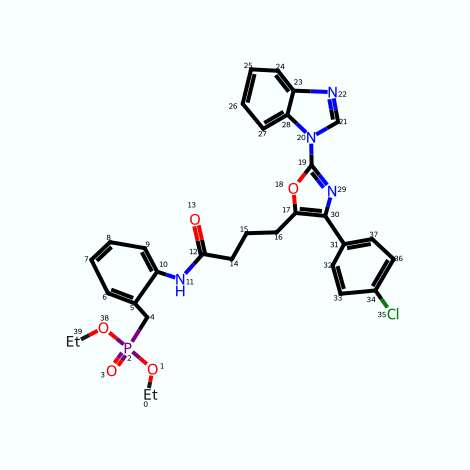 CCOP(=O)(Cc1ccccc1NC(=O)CCCc1oc(-n2cnc3ccccc32)nc1-c1ccc(Cl)cc1)OCC